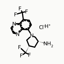 N[C@@H]1C[C@H](C(F)(F)F)CN(c2ccc(C(F)(F)F)c3nccnc23)C1.[Cl-].[H+]